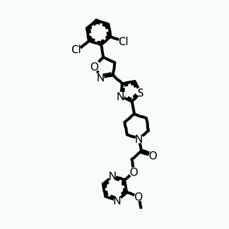 COc1nccnc1OCC(=O)N1CCC(c2nc(C3=NOC(c4c(Cl)cccc4Cl)C3)cs2)CC1